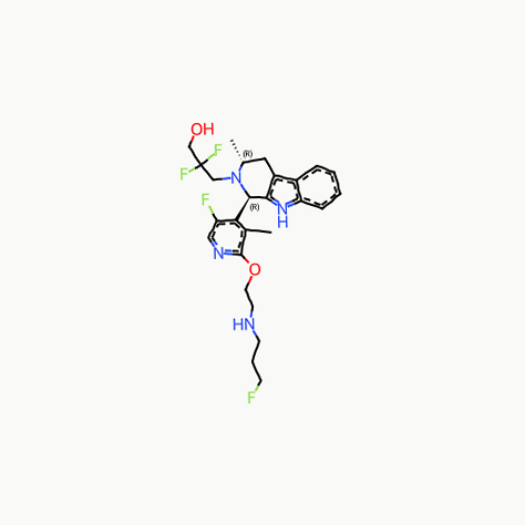 Cc1c(OCCNCCCF)ncc(F)c1[C@@H]1c2[nH]c3ccccc3c2C[C@@H](C)N1CC(F)(F)CO